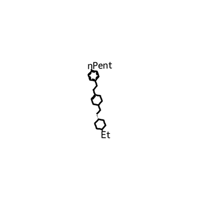 CCCCCc1ccc(CCC2=CCC(CC[C@H]3CC[C@H](CC)CC3)CC2)cc1